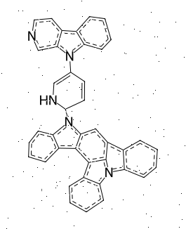 C1=CC(n2c3ccccc3c3c4c5ccccc5n5c6ccccc6c(cc32)c45)NC=C1n1c2ccccc2c2ccncc21